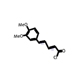 COc1ccc(/C=C/C=C/C(=O)Cl)cc1OC